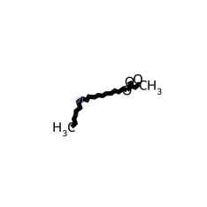 CCCCCC/C=C\CCCCCCCCCCOC(=O)CC(C)=O